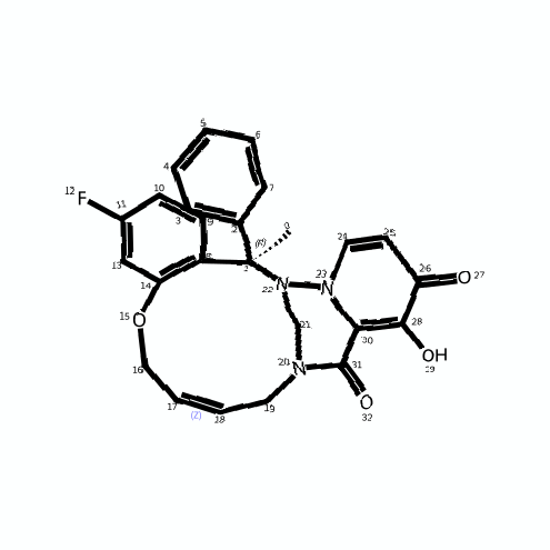 C[C@@]1(c2ccccc2)c2ccc(F)cc2OC/C=C\CN2CN1n1ccc(=O)c(O)c1C2=O